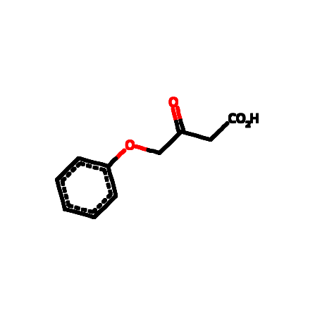 O=C(O)CC(=O)COc1ccccc1